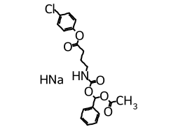 CC(=O)OC(OC(=O)NCCCC(=O)Oc1ccc(Cl)cc1)c1ccccc1.[NaH]